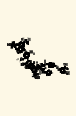 COc1cc(N=Nc2cc(S(=O)(=O)O)cc3cc(S(=O)(=O)O)cc(O)c23)c(C)cc1N=Nc1c(S(=O)(=O)O)cc2cc(S(=O)(=O)O)cc(Nc3nc(Nc4ccccc4)nc(Nc4ccc(N=Nc5ccc(O)c(C(=O)O)c5)cc4)n3)c2c1O